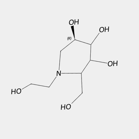 OCCN1C[C@@H](O)C(O)C(O)C1CO